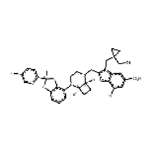 C[C@]1(c2ccc(Cl)cn2)Oc2cccc(N3CCN(Cc4nc5c(Cl)cc(C(=O)O)cc5n4CC4(CC#N)CC4)[C@@H]4CC[C@H]43)c2O1